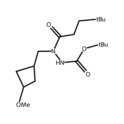 COC1CC(CN(NC(=O)OC(C)(C)C)C(=O)CCC(C)(C)C)C1